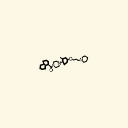 Cc1cc(OCCCN2CCCCC2)ccc1N1CCN(C(=O)c2cccc3ccccc23)CC1